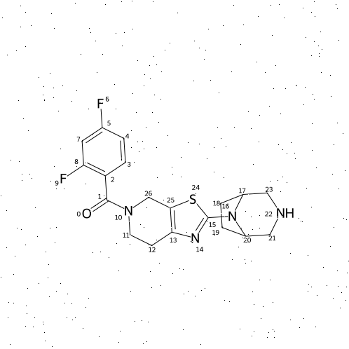 O=C(c1ccc(F)cc1F)N1CCc2nc(N3C4CCC3CNC4)sc2C1